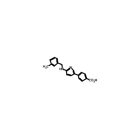 Cc1cccc(CNc2ccc(-c3ccc(C(=O)O)cc3)cn2)c1